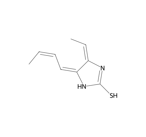 C\C=C/C=c1/[nH]c(S)n/c1=C/C